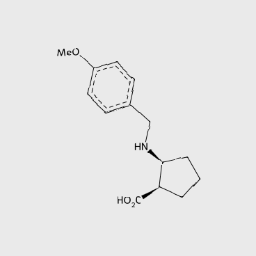 COc1ccc(CN[C@H]2CCC[C@H]2C(=O)O)cc1